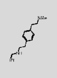 CNCCc1ccc(CCNCC(C)C)cc1